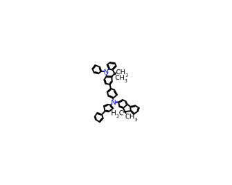 CC1(C)c2ccccc2-c2ccc(N(c3ccc(-c4ccccc4)cc3)c3ccc(-c4ccc5c(c4)C(C)(C)c4ccccc4N5c4ccccc4)cc3)cc21